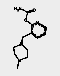 CN1CCN(Cc2cccnc2OC(N)=O)CC1